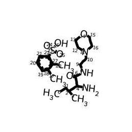 CCC(C)C(N)C(=O)NCCN1CCOCC1.Cc1cccc(S(=O)(=O)O)c1C